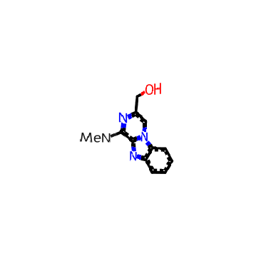 CNc1nc(CO)cn2c1nc1ccccc12